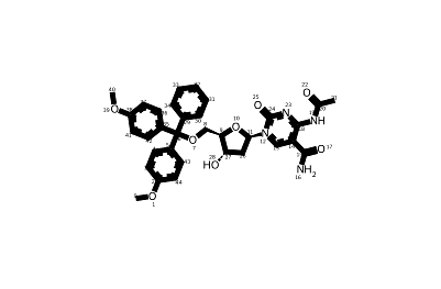 COc1ccc(C(OC[C@H]2O[C@@H](n3cc(C(N)=O)c(NC(C)=O)nc3=O)C[C@@H]2O)(c2ccccc2)c2ccc(OC)cc2)cc1